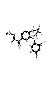 CC(=NO)C(=O)c1ccc(NS(C)(=O)=O)c(Sc2ccc(F)cc2F)c1